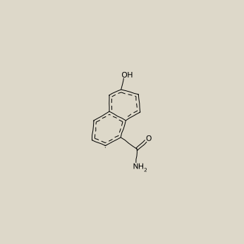 NC(=O)c1[c]ccc2cc(O)ccc12